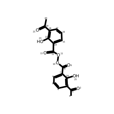 CC(=O)c1cccc(C(=O)OOC(=O)c2cccc(C(C)=O)c2O)c1O